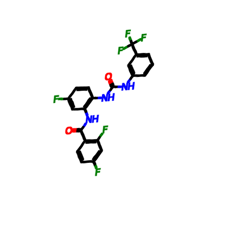 O=C(Nc1cccc(C(F)(F)F)c1)Nc1ccc(F)cc1NC(=O)c1ccc(F)cc1F